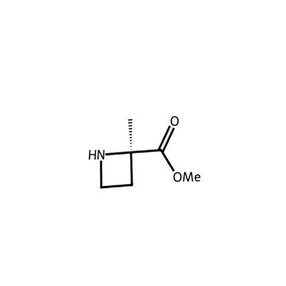 COC(=O)[C@@]1(C)CCN1